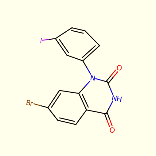 O=c1[nH]c(=O)n(-c2cccc(I)c2)c2cc(Br)ccc12